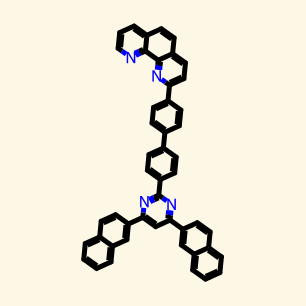 c1ccc2cc(-c3cc(-c4ccc5ccccc5c4)nc(-c4ccc(-c5ccc(-c6ccc7ccc8cccnc8c7n6)cc5)cc4)n3)ccc2c1